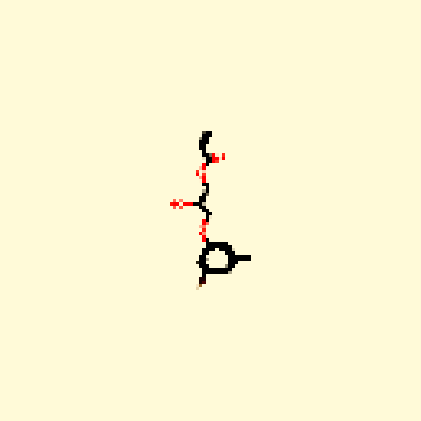 C=CC(=O)OCC(O)COc1cc(C)cc(Br)c1